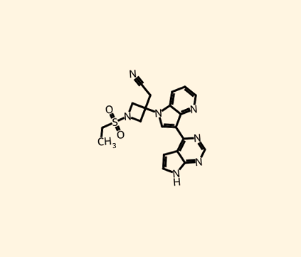 CCS(=O)(=O)N1CC(CC#N)(n2cc(-c3ncnc4[nH]ccc34)c3ncccc32)C1